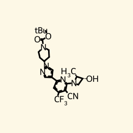 C[C@H]1[C@H](O)CN1c1nc(-c2cnn(C3CCN(C(=O)OC(C)(C)C)CC3)c2)cc(C(F)(F)F)c1C#N